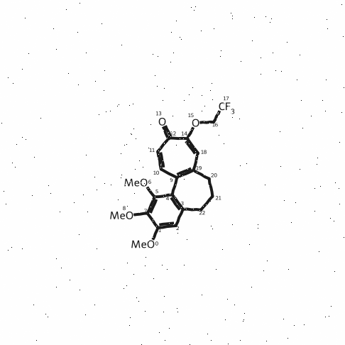 COc1cc2c(c(OC)c1OC)-c1ccc(=O)c(OCC(F)(F)F)cc1CCC2